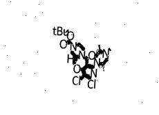 C[C@@H]1CN(c2nc(Cl)c(Cl)c3c2C(=O)N2CCN(C(=O)OC(C)(C)C)C[C@@H]2CO3)[C@@H](C)CN1C